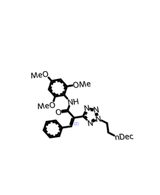 CCCCCCCCCCCCn1nnc(/C(=C/c2ccccc2)C(=O)Nc2c(OC)cc(OC)cc2OC)n1